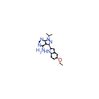 CCOc1ccc2[nH]c(-c3nn(C(C)C)c4ncnc(N)c34)cc2c1